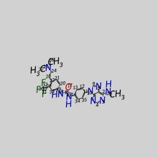 CNc1ncnc2c1ncn2-c1ccc(NC(=O)Nc2ccc(CCN(C)C)c(C(F)(F)F)c2)cc1